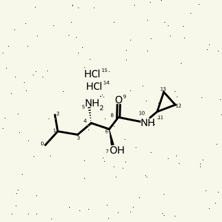 CC(C)C[C@H](N)[C@H](O)C(=O)NC1CC1.Cl.Cl